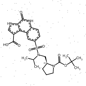 CC(C)N(C[C@@H]1CCCN1C(=O)OC(C)(C)C)S(=O)(=O)c1ccc2[nH]c(=O)c3[nH]cc(C(=O)O)c3c2c1